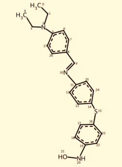 CCN(CC)c1ccc(/C=N/c2ccc(Sc3ccc(NO)cc3)cc2)cc1